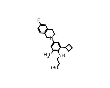 Cc1cc(N2CCc3cc(F)ccc3C2)cc(C2CCC2)c1NCCC(C)(C)C